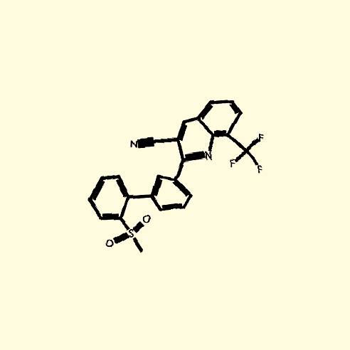 CS(=O)(=O)c1ccccc1-c1cccc(-c2nc3c(C(F)(F)F)cccc3cc2C#N)c1